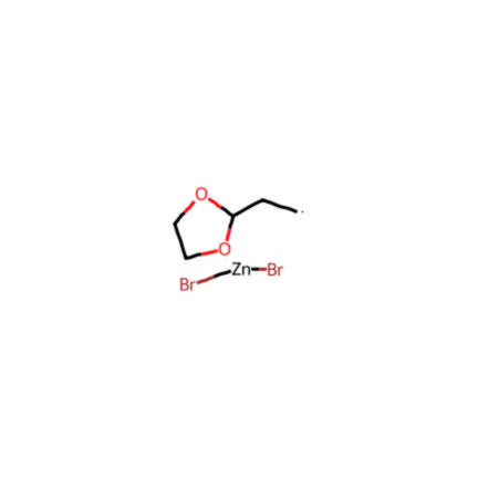 [Br][Zn][Br].[CH2]CC1OCCO1